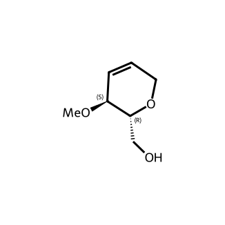 CO[C@H]1C=CCO[C@@H]1CO